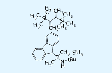 C=C(C(=C)[Si](C)(C)C)[Si](C)(C)C.CC(C)(C)[NH][Ti]([CH3])([CH3])[CH]1c2ccccc2-c2ccccc21.[SiH4]